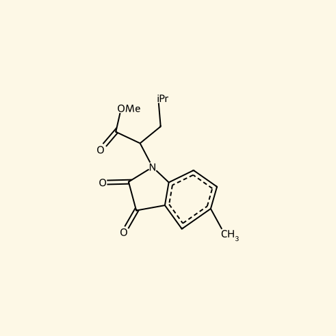 COC(=O)C(CC(C)C)N1C(=O)C(=O)c2cc(C)ccc21